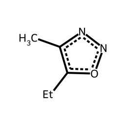 CCc1onnc1C